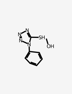 CO.Sc1nnnn1-c1ccccc1